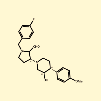 COc1ccc([C@H]2CCN([C@@H]3CCN(Cc4ccc(F)cc4)C3C=O)C[C@@H]2O)cc1